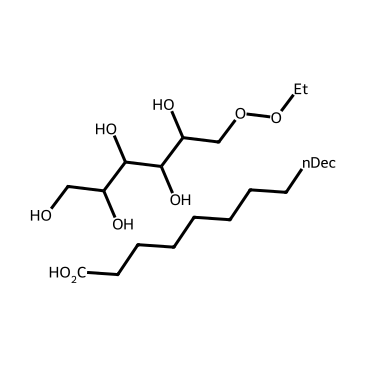 CCCCCCCCCCCCCCCCCC(=O)O.CCOOCC(O)C(O)C(O)C(O)CO